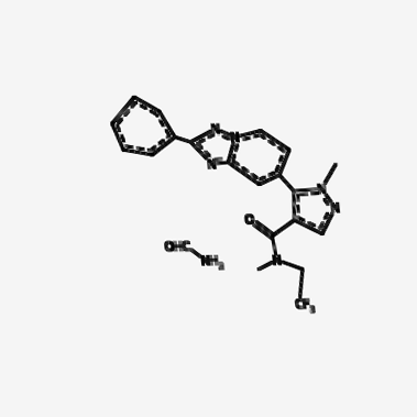 CN(CC(F)(F)F)C(=O)c1cnn(C)c1-c1ccn2nc(-c3ccccc3)nc2c1.NC=O